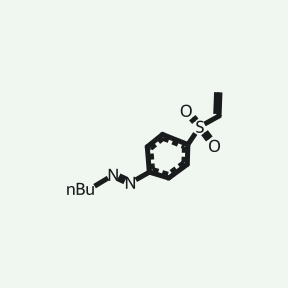 C=CS(=O)(=O)c1ccc(/N=N/CCCC)cc1